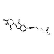 O=C(O)CCCCC#Cc1ccc2c(c1)C(=O)N(C1CCC(=O)NC1=O)C2